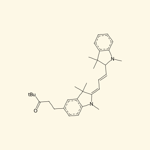 CN1/C(=C/C=C/C2N(C)c3ccccc3C2(C)C)C(C)(C)c2cc(CCC(=O)C(C)(C)C)ccc21